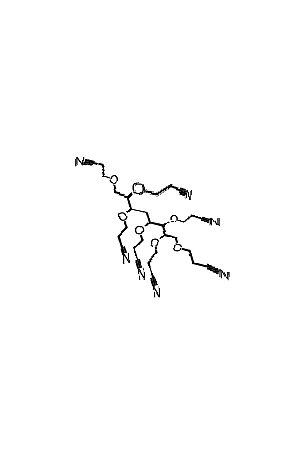 N#CCCOCC(OCCC#N)C(CC(OCCC#N)C(OCCC#N)C(COCCC#N)OCCC#N)OCCC#N